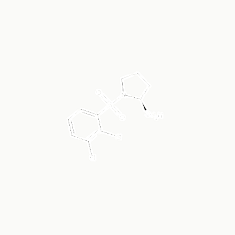 O=C(O)[C@@H]1CCCN1S(=O)(=O)c1cccc(Cl)c1Cl